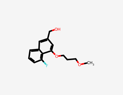 COCCCOc1cc(CO)cc2cccc(F)c12